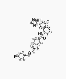 O=C(Nc1cccc2c(=O)cc(-c3nnn[nH]3)oc12)c1ccc2c(c1)CC(COCc1ccc(F)cc1)O2